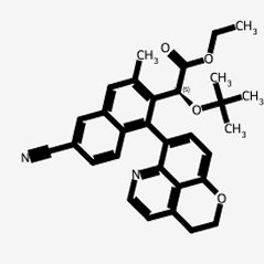 CCOC(=O)[C@@H](OC(C)(C)C)c1c(C)cc2cc(C#N)ccc2c1-c1ccc2c3c(ccnc13)CCO2